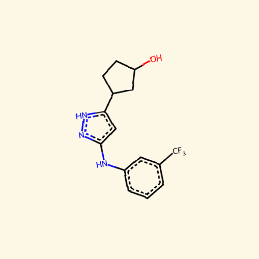 OC1CCC(c2cc(Nc3cccc(C(F)(F)F)c3)n[nH]2)C1